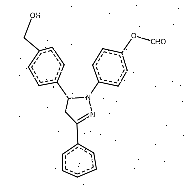 O=COc1ccc(N2N=C(c3ccccc3)CC2c2ccc(CO)cc2)cc1